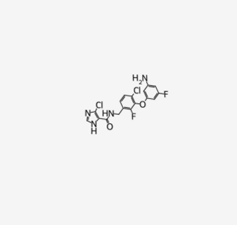 Nc1cc(F)cc(Oc2c(Cl)ccc(CNC(=O)c3[nH]cnc3Cl)c2F)c1